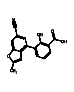 Cc1cc2c(-c3cccc(C(=O)O)c3O)cc(C#N)cc2o1